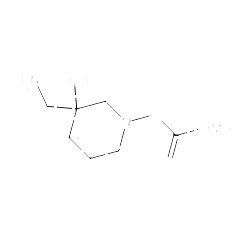 COC(=O)ON1CCCC(O)(CN)C1